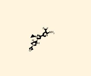 Nc1ncc(-c2cc([C@@H]3[C@@H]4CN(C5COC5)C[C@@H]43)n(C3CC3)n2)cc1C(F)F